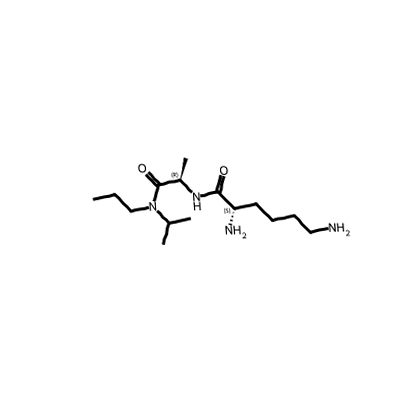 CCCN(C(=O)[C@@H](C)NC(=O)[C@@H](N)CCCCN)C(C)C